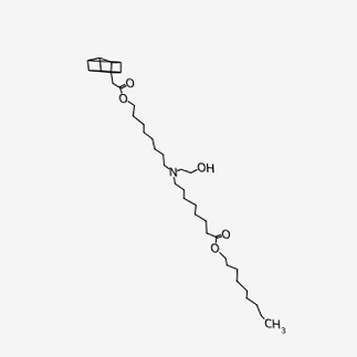 CCCCCCCCCOC(=O)CCCCCCCN(CCO)CCCCCCCCOC(=O)CC12C3C4C5C3C1C5C42